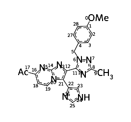 COc1ccc(Cn2nc(C)nc2-c2nc3nc(C(C)=O)ccn3c2-c2c[nH]cn2)cc1